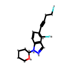 FCCC#Cc1ccc2c(cnn2C2CCCCO2)c1F